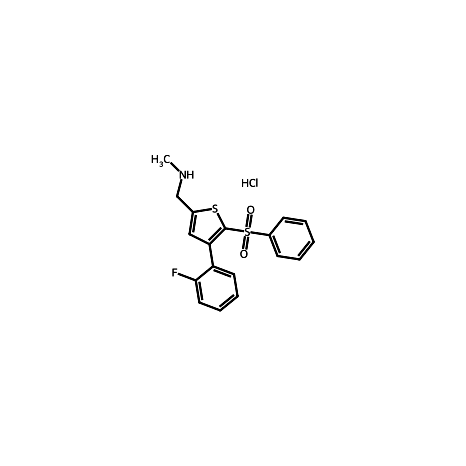 CNCc1cc(-c2ccccc2F)c(S(=O)(=O)c2ccccc2)s1.Cl